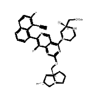 C#Cc1c(F)ccc2cccc(-c3ncc4c(N5CCN[C@@](CC)(COC)C5)nc(OC[C@@]56CCCN5C[C@H](F)C6)nc4c3F)c12